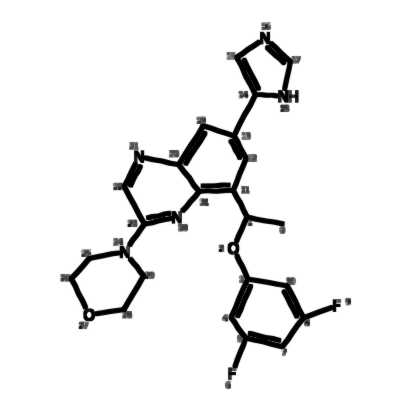 CC(Oc1cc(F)cc(F)c1)c1cc(-c2cnc[nH]2)cc2ncc(N3CCOCC3)nc12